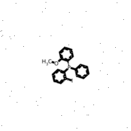 COc1ccccc1[P@@](c1ccccc1)c1ccccc1I